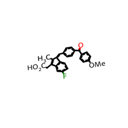 COc1ccc(C(=O)c2ccc(/C=C3/C(C)=C(CC(=O)O)c4cc(F)ccc43)cc2)cc1